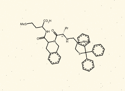 CSCCC(NC(=O)C1Cc2ccccc2CN1C(=O)[C@@H](NCC(CSC(c1ccccc1)(c1ccccc1)c1ccccc1)NC(C)=O)C(C)C)C(=O)O